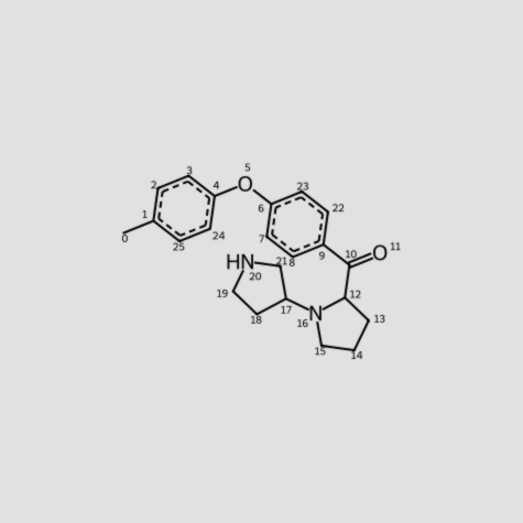 Cc1ccc(Oc2ccc(C(=O)C3CCCN3C3CCNC3)cc2)cc1